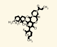 C=C/C=C\C(=C(/C)F)c1nc(N2CCC3(CCN(C)C3)C2(C)C)c2c(c1Cl)OC[C@H]1CN(C(=O)C=C)CCN1C2=O